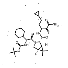 CC(C)(C)OC(=O)N[C@H](C(=O)N1C[C@H]2[C@@H]([C@H]1C(=O)NC(CCC1CC1)C(=O)C(N)=O)C2(C)C)C1CCCCC1